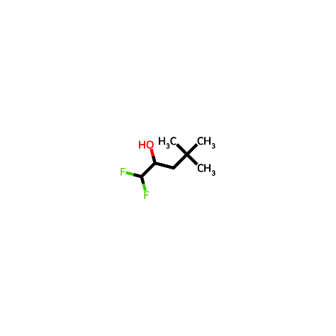 CC(C)(C)CC(O)C(F)F